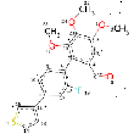 COc1cc(C=O)c(-c2ccc(-c3ccsc3)cc2F)c(OC)c1OC